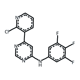 Fc1cc(Nc2cc(-c3cccnc3Cl)ncn2)cc(F)c1F